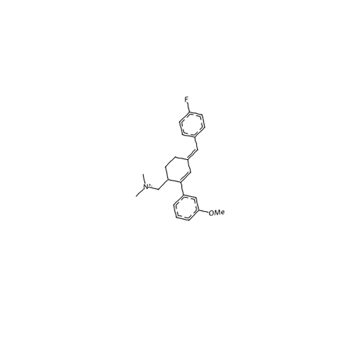 COc1cccc(C2=C/C(=C/c3ccc(F)cc3)CCC2C[N+](C)C)c1